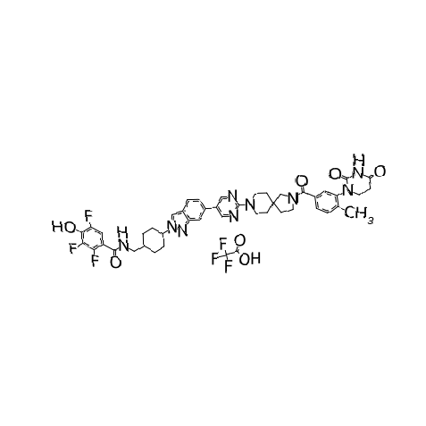 Cc1ccc(C(=O)N2CCC3(CCN(c4ncc(-c5ccc6cn(C7CCC(CNC(=O)c8cc(F)c(O)c(F)c8F)CC7)nc6c5)cn4)CC3)C2)cc1N1CCC(=O)NC1=O.O=C(O)C(F)(F)F